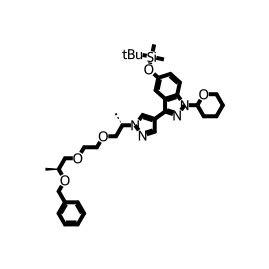 C[C@@H](COCCOC[C@H](C)n1cc(-c2nn(C3CCCCO3)c3ccc(O[Si](C)(C)C(C)(C)C)cc23)cn1)OCc1ccccc1